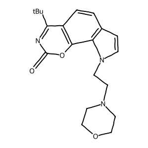 CC(C)(C)c1nc(=O)oc2c1ccc1ccn(CCN3CCOCC3)c12